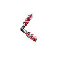 [Li+].[Li+].[Li+].[Li+].[Li+].[Li+].[Li+].[Li+].[Li+].[Li+].[Li+].[Li+].[O]=[Sb]([O-])([O-])[F].[O]=[Sb]([O-])([O-])[F].[O]=[Sb]([O-])([O-])[F].[O]=[Sb]([O-])([O-])[F].[O]=[Sb]([O-])([O-])[F].[O]=[Sb]([O-])([O-])[F]